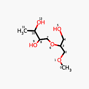 COCC(CO)OCC(O)C(C)O